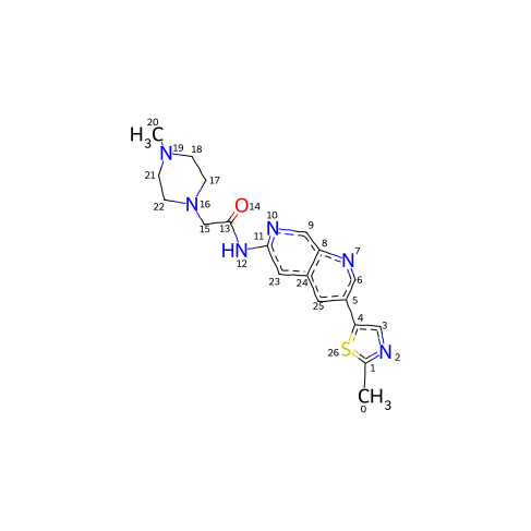 Cc1ncc(-c2cnc3cnc(NC(=O)CN4CCN(C)CC4)cc3c2)s1